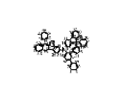 c1ccc(-c2ccc(N(c3ccc4c(c3)C(c3ccccc3)(c3ccccc3)c3ccccc3-4)c3ccc4c(c3)oc3c(-c5ccccc5)c5ccccc5cc34)cc2)cc1